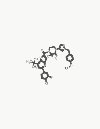 COc1ccc(Cn2cc(N3CCN(C(=O)c4cc5nc(-c6ccc(Cl)c(F)c6)cc(C(C)(C)C)c5o4)C(C)(C)C3=O)cn2)cc1